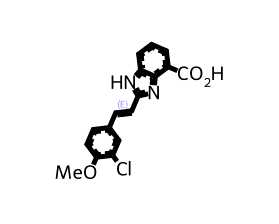 COc1ccc(/C=C/c2nc3c(C(=O)O)cccc3[nH]2)cc1Cl